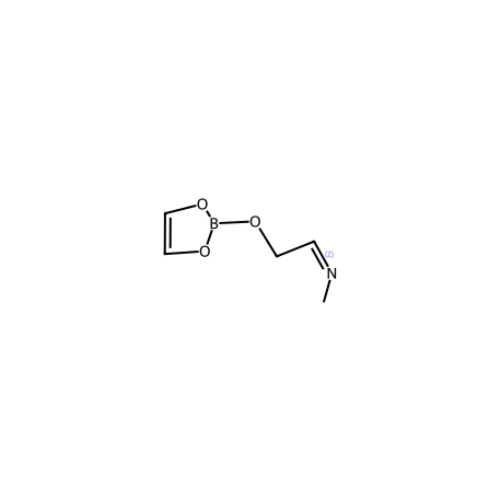 C/N=C\COB1OC=CO1